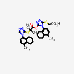 Cc1ccc(-n2cnnc2SC(C)(C)C(=O)Oc2nnc(SCC(=O)O)n2-c2ccc(C)c3c2CCCC3)c2c1CCCC2